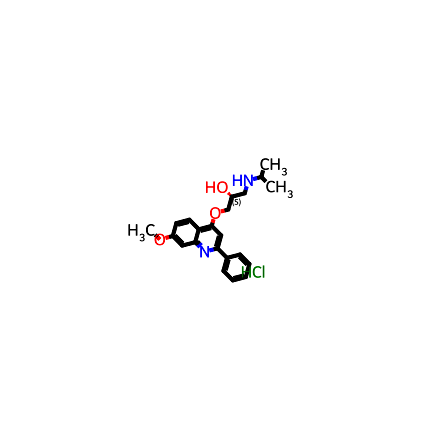 COc1ccc2c(OC[C@@H](O)CNC(C)C)cc(-c3ccccc3)nc2c1.Cl